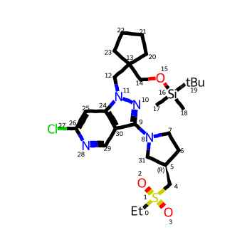 CCS(=O)(=O)C[C@@H]1CCN(c2nn(CC3(CO[Si](C)(C)C(C)(C)C)CCCC3)c3cc(Cl)ncc23)C1